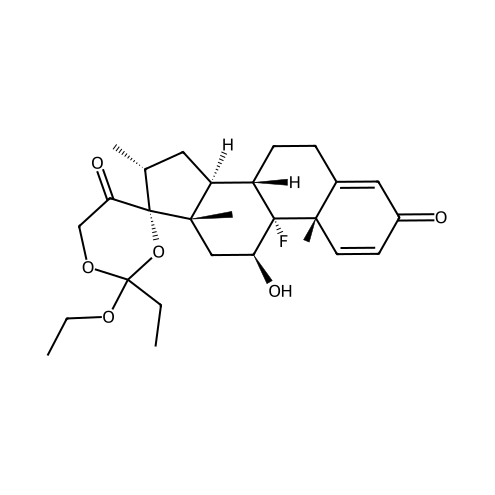 CCOC1(CC)OCC(=O)[C@@]2(O1)[C@H](C)C[C@H]1[C@@H]3CCC4=CC(=O)C=C[C@]4(C)[C@@]3(F)[C@@H](O)C[C@@]12C